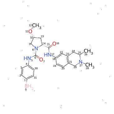 Bc1ccc(NC(=O)N2C[C@H](OC)C[C@@H]2C(=O)Nc2ccc3c(c2)CC(C)N(C)C3)cc1